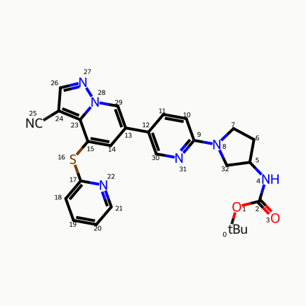 CC(C)(C)OC(=O)NC1CCN(c2ccc(-c3cc(Sc4ccccn4)c4c(C#N)cnn4c3)cn2)C1